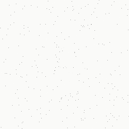 CC(=O)OCc1ccccc1NC(=O)N(CCO)CCC(C)C